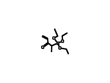 C=CC(=O)C(C)[Si](OCC)(OCC)OCC